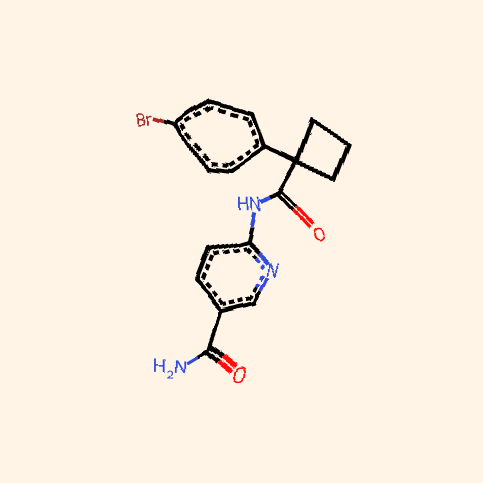 NC(=O)c1ccc(NC(=O)C2(c3ccc(Br)cc3)CCC2)nc1